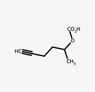 C#CCCC(C)OC(=O)O